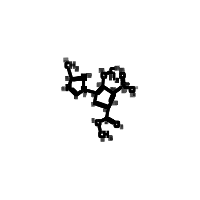 COC(=O)c1cc(-n2cnc(C)n2)c(OC)c([N+](=O)[O-])c1